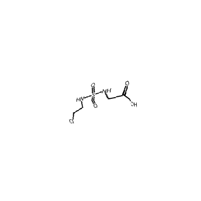 O=C(O)CNS(=O)(=O)NCCCl